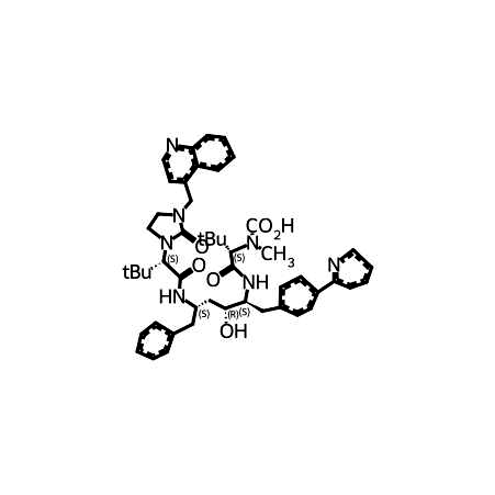 CN(C(=O)O)[C@H](C(=O)N[C@@H](Cc1ccc(-c2ccccn2)cc1)[C@H](O)C[C@H](Cc1ccccc1)NC(=O)[C@@H](N1CCN(Cc2ccnc3ccccc23)C1=O)C(C)(C)C)C(C)(C)C